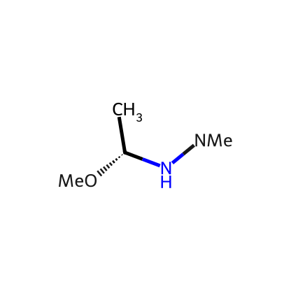 CNN[C@@H](C)OC